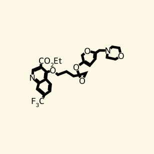 CCOC(=O)c1cnc2cc(C(F)(F)F)ccc2c1OCCCC1(OC2=CC=C(CN3CCOCC3)OC2)CO1